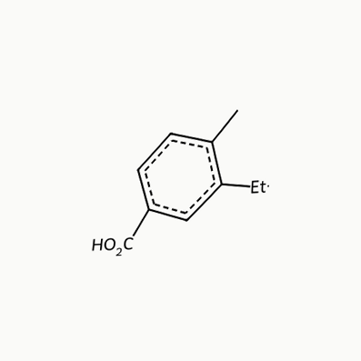 C[CH]c1cc(C(=O)O)ccc1C